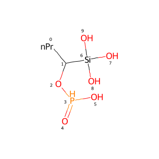 CCCC(O[PH](=O)O)[Si](O)(O)O